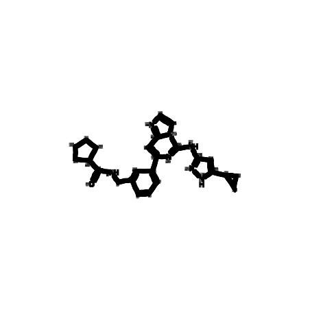 O=C(NCc1cccc(-c2cc3nccn3c(Nc3cc(C4CC4)[nH]n3)n2)c1)C1CCCC1